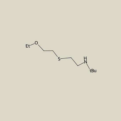 CCOCCSCCNC(C)(C)C